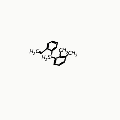 C=Cc1ccccc1[SiH2]c1cccc(C)c1C